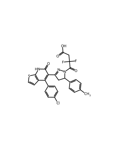 Cc1ccc(C2CC(c3c(-c4ccc(Cl)cc4)c4ccsc4[nH]c3=O)=NN2C(=O)C(F)(F)CC(=O)O)cc1